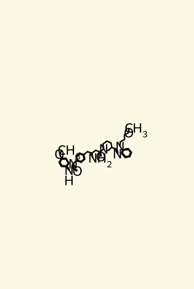 COCCCn1c(C2CCCN(C(=O)CC(N)Cc3ccc(-n4c(=O)[nH]c5ccc(OC)cc54)cc3)C2)nc2ccccc21